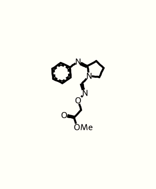 COC(=O)CON=CN1CCCC1=Nc1ccccc1